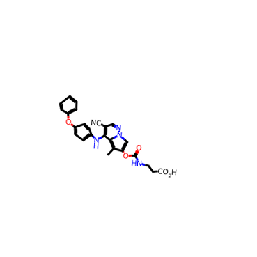 Cc1c(OC(=O)NCCC(=O)O)cn2ncc(C#N)c(Nc3ccc(Oc4ccccc4)cc3)c12